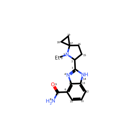 CCN1C(c2nc3c(C(N)=O)cccc3[nH]2)CCC12CC2